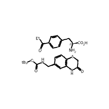 CC(C)(C)OC(=O)NCc1ccc2c(c1)NC(=O)CS2.CCC(=O)c1ccc(C[C@H](N)C(=O)O)cc1